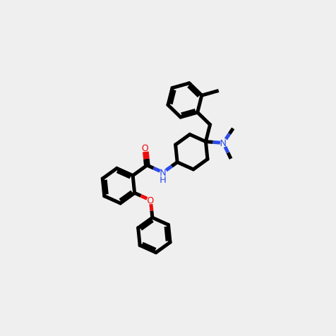 Cc1ccccc1CC1(N(C)C)CCC(NC(=O)c2ccccc2Oc2ccccc2)CC1